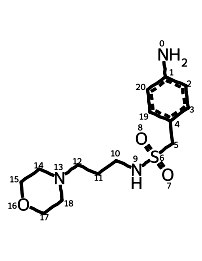 Nc1ccc(CS(=O)(=O)NCCCN2CCOCC2)cc1